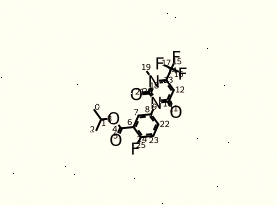 CC(C)OC(=O)c1cc(-n2c(=O)cc(C(F)(F)F)n(C)c2=O)ccc1F